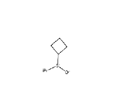 CC(C)[S+]([O-])C1CCC1